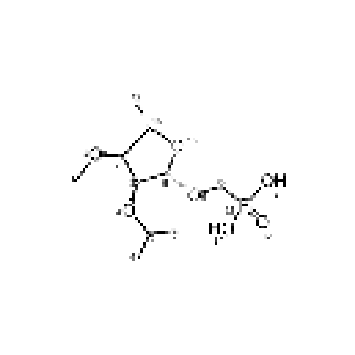 CO[C@@H]1[C@H](OC(C)C)[C@@H](OCP(=O)(O)O)O[C@H]1C